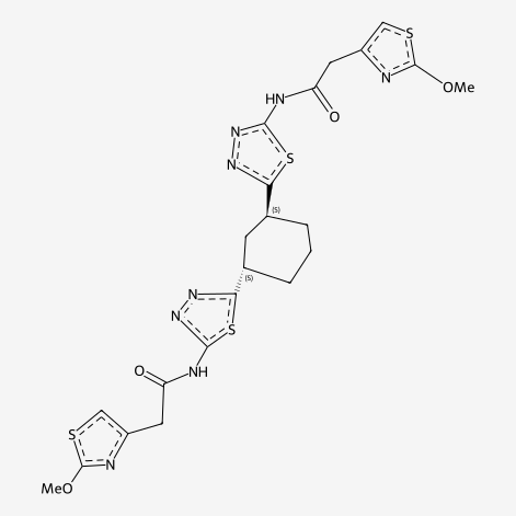 COc1nc(CC(=O)Nc2nnc([C@H]3CCC[C@H](c4nnc(NC(=O)Cc5csc(OC)n5)s4)C3)s2)cs1